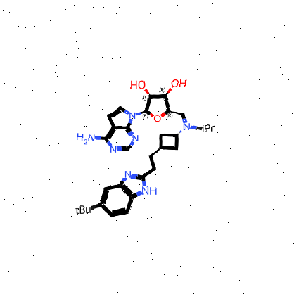 CC(C)N(C[C@H]1O[C@@H](n2ccc3c(N)ncnc32)[C@@H](O)[C@H]1O)[C@H]1C[C@H](CCc2nc3cc(C(C)(C)C)ccc3[nH]2)C1